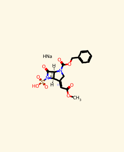 COC(=O)/C=C1\CN(C(=O)OCc2ccccc2)[C@@H]2C(=O)N(S(=O)(=O)O)[C@H]12.[NaH]